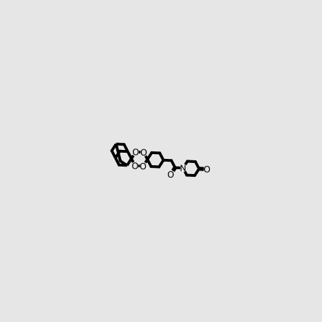 O=C1CCN(C(=O)CC2CCC3(CC2)OOC2(OO3)C3CC4CC(C3)CC2C4)CC1